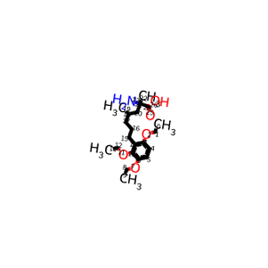 CCOc1ccc(OCC)c(OCC)c1CCCC(C)CC(C)(N)C(=O)O